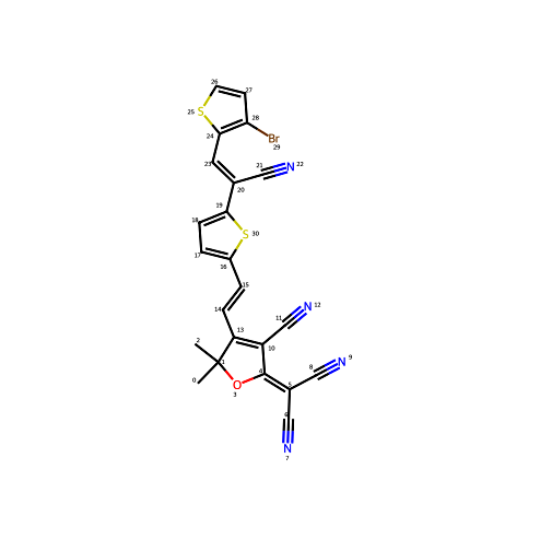 CC1(C)OC(=C(C#N)C#N)C(C#N)=C1/C=C/c1ccc(/C(C#N)=C/c2sccc2Br)s1